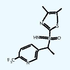 Cc1nc(S(=N)(=O)C(C)c2ccc(C(F)(F)F)nc2)sc1C